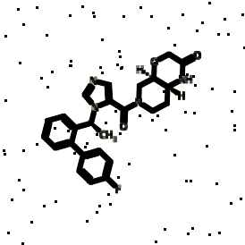 C[C@@H](c1ccccc1-c1ccc(F)cc1)n1cncc1C(=O)N1CC[C@H]2NC(=O)CO[C@@H]2C1